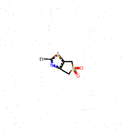 CCc1nc2c(s1)CS(=O)(=O)C2